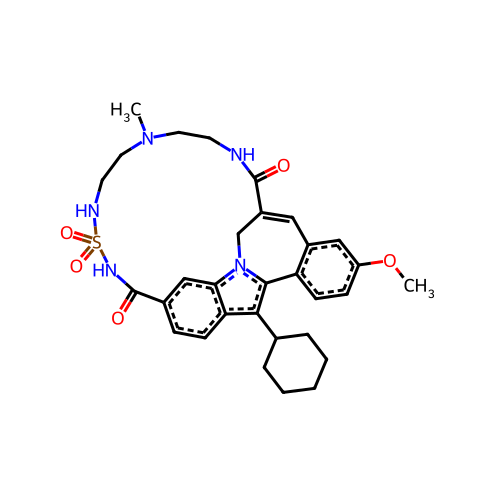 COc1ccc2c(c1)C=C1Cn3c-2c(C2CCCCC2)c2ccc(cc23)C(=O)NS(=O)(=O)NCCN(C)CCNC1=O